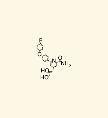 NC(=O)c1cc(C[C@@H](O)CO)cc(-c2ccc(Oc3ccc(F)cc3)cc2)n1